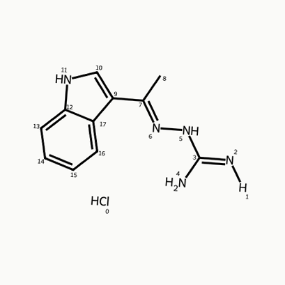 Cl.[H]/N=C(\N)NN=C(C)c1c[nH]c2ccccc12